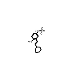 COc1ccc(NS(C)(=O)=O)cc1C=CC1CCCCC1